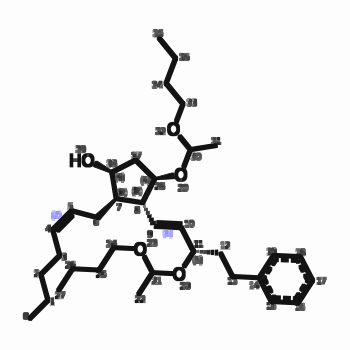 CCCC/C=C\C[C@@H]1[C@@H](/C=C/[C@H](CCc2ccccc2)OC(C)OCCCC)[C@H](OC(C)OCCCC)C[C@@H]1O